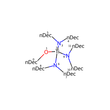 CCCCCCCCCC[O][Ti]([N](CCCCCCCCCC)CCCCCCCCCC)([N](CCCCCCCCCC)CCCCCCCCCC)[N](CCCCCCCCCC)CCCCCCCCCC